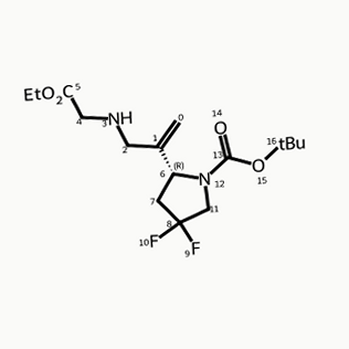 C=C(CNCC(=O)OCC)[C@H]1CC(F)(F)CN1C(=O)OC(C)(C)C